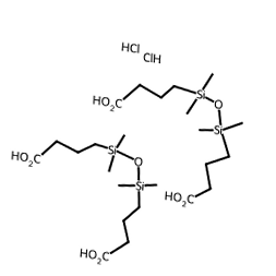 C[Si](C)(CCCC(=O)O)O[Si](C)(C)CCCC(=O)O.C[Si](C)(CCCC(=O)O)O[Si](C)(C)CCCC(=O)O.Cl.Cl